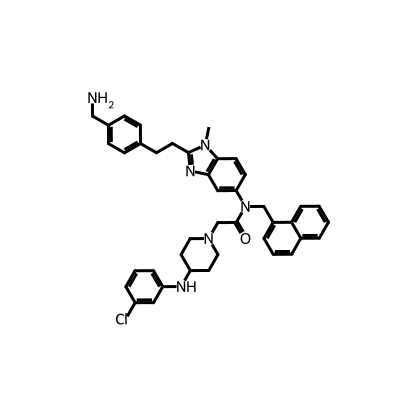 Cn1c(CCc2ccc(CN)cc2)nc2cc(N(Cc3cccc4ccccc34)C(=O)CN3CCC(Nc4cccc(Cl)c4)CC3)ccc21